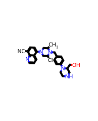 CC1CN(c2ccc(C#N)c3ncccc23)CC(C)N1Cc1ccc(N2CCNCC2CO)cc1